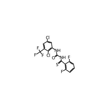 O=C(NC(=S)c1c(F)cccc1F)Nc1cc(Cl)cc(C(F)(F)F)c1Cl